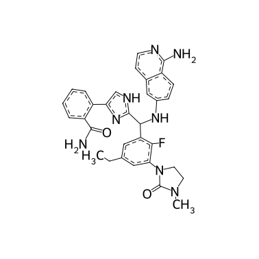 CCc1cc(C(Nc2ccc3c(N)nccc3c2)c2nc(-c3ccccc3C(N)=O)c[nH]2)c(F)c(N2CCN(C)C2=O)c1